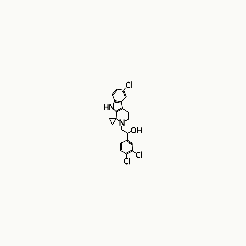 OC(CN1CCc2c([nH]c3ccc(Cl)cc23)C12CC2)c1ccc(Cl)c(Cl)c1